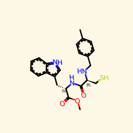 COC(=O)[C@H](Cc1c[nH]c2ccccc12)NC(=O)[C@H](CS)NCc1ccc(C)cc1